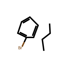 Brc1ccccc1.CCCC